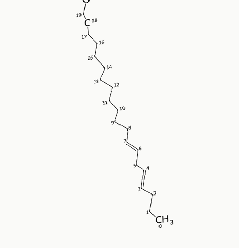 CCCC=CCC=CCCCCCCCCCCCC[O]